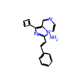 N[N+]12C=CN=CC1=C(C1=CC=C1)N=C2C=Cc1ccccc1